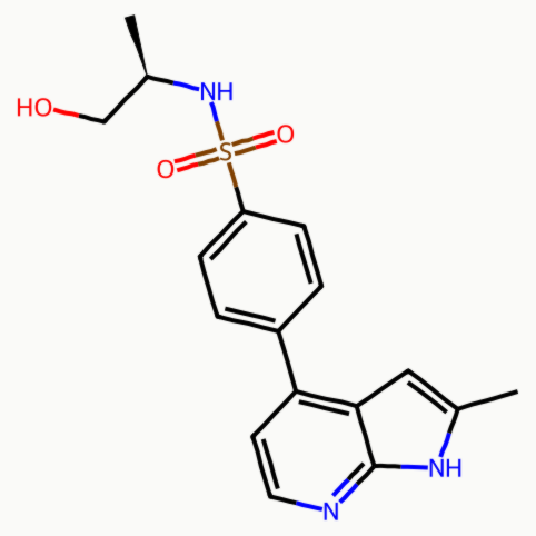 Cc1cc2c(-c3ccc(S(=O)(=O)N[C@H](C)CO)cc3)ccnc2[nH]1